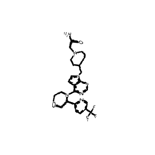 NC(=O)CN1CCC(Cn2ccc3c(N4CCOCC4c4ccc(C(F)(F)F)cn4)ncnc32)CC1